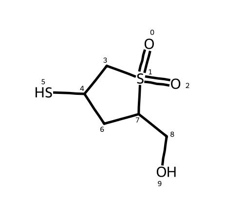 O=S1(=O)CC(S)CC1CO